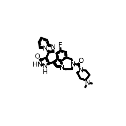 CN(C)C1CCN(C(=O)N2CCn3cc(-c4[nH][nH]c(=O)c4-c4cnc5ccccn45)c4cc(F)cc(c43)C2)CC1